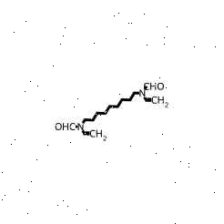 C=CN(C=O)CCCCCCCCCN(C=C)C=O